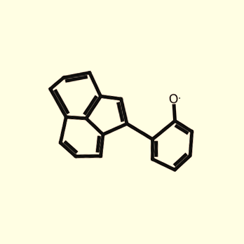 [O]c1ccccc1C1=Cc2cccc3cccc1c23